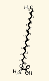 CCC=CCC=CCC=CCC=CCC=CCCCCOC(C)C(=O)O